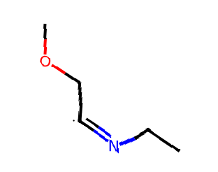 CC/N=[C]\COC